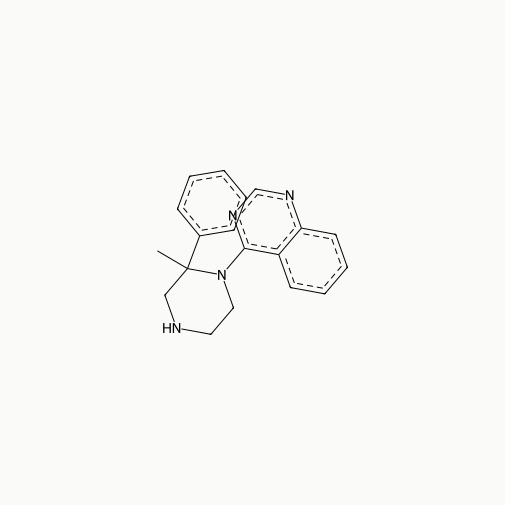 CC1(c2ccccc2)CNCCN1c1ncnc2ccccc12